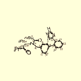 CCCCC(=O)N(Cc1ccc(-c2ccccc2-c2nn[nH]n2)cc1)[C@H](C(=O)C(C)C)C(C)C